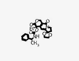 CC[C@@]1(OC(=O)N[C@H](C)c2ccccc2)C(=O)OCc2c1cc1n(c2=O)CCC12OCCO2